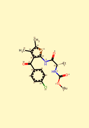 CC[C@H](NC(=O)OC(C)(C)C)C(=O)Nc1sc(C)c(C)c1C(=O)c1ccc(Cl)cc1